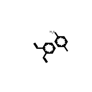 C=Cc1ccccc1C=C.Cc1ccc([SiH3])cc1